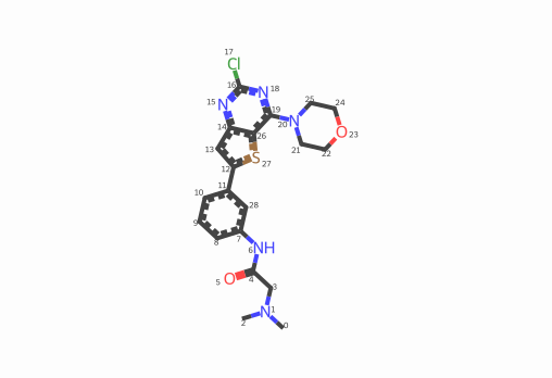 CN(C)CC(=O)Nc1cccc(-c2cc3nc(Cl)nc(N4CCOCC4)c3s2)c1